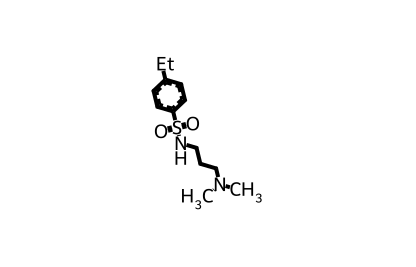 CCc1ccc(S(=O)(=O)NCCCN(C)C)cc1